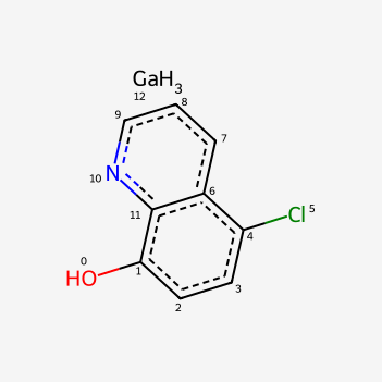 Oc1ccc(Cl)c2cccnc12.[GaH3]